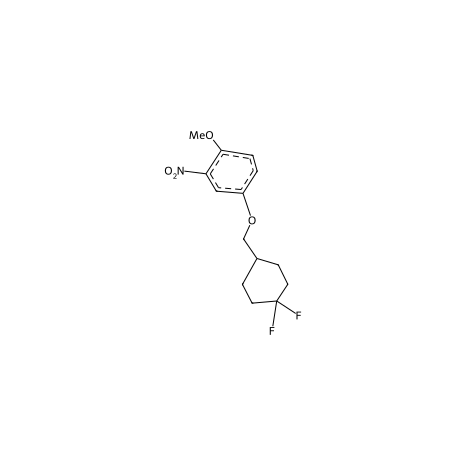 COc1ccc(OCC2CCC(F)(F)CC2)cc1[N+](=O)[O-]